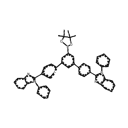 CC1(C)OB(c2cc(-c3ccc(-c4nc5ccccc5n4-c4ccccc4)cc3)cc(-c3ccc(-c4nc5ccccc5n4-c4ccccc4)cc3)c2)OC1(C)C